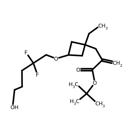 C=C(CC1(CC)CC(OCC(F)(F)CCCO)C1)C(=O)OC(C)(C)C